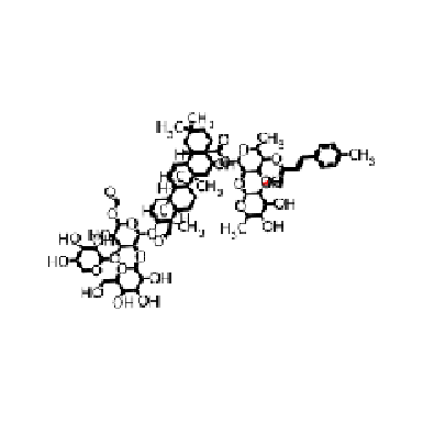 Cc1ccc(/C=C/C(=O)OC2C(C)OC(OC(=O)[C@]34CCC(C)(C)C[C@H]3C3C=C[C@@H]5[C@@]6(C)CC[C@H](OC7OC(OC=O)C(O)C(OC8OCC(O)C(O)C8O)C7OC7OC(CO)C(O)C(O)C7O)[C@@](C)(C=O)[C@@H]6CC[C@@]5(C)[C@]3(C)C[C@H]4O)C(OC3OC(C)C(O)C(O)C3O)C2O)cc1